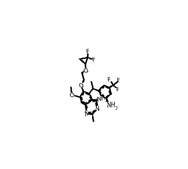 COc1cc2nc(C)nc(N)c2c(C(C)c2cc(N)cc(C(F)(F)F)c2)c1OCCOC1CC1(F)F